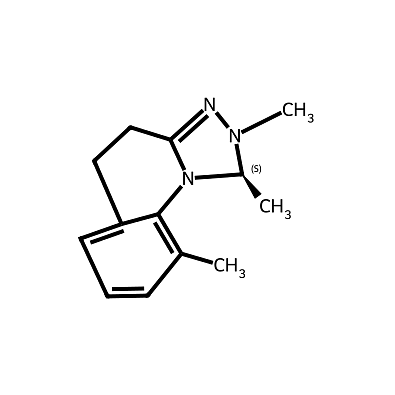 Cc1cccc2c1N1C(=NN(C)[C@H]1C)CC2